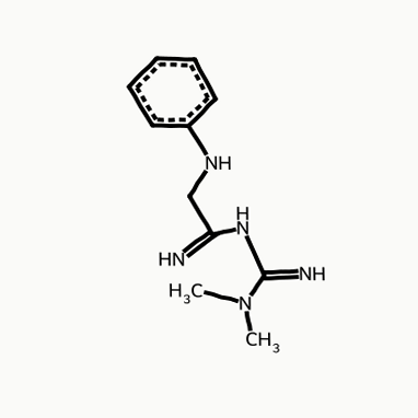 CN(C)C(=N)NC(=N)CNc1ccccc1